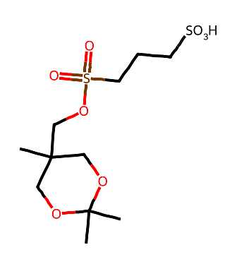 CC1(COS(=O)(=O)CCCS(=O)(=O)O)COC(C)(C)OC1